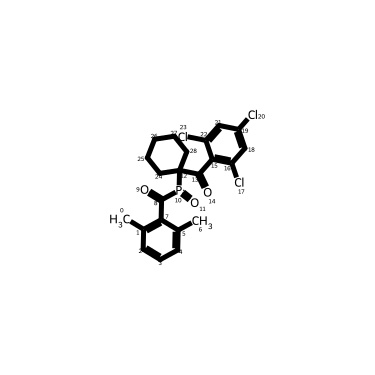 Cc1cccc(C)c1C(=O)[P](=O)C1(C(=O)c2c(Cl)cc(Cl)cc2Cl)CCCCC1